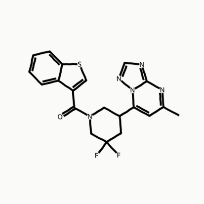 Cc1cc(C2CN(C(=O)c3csc4ccccc34)CC(F)(F)C2)n2ncnc2n1